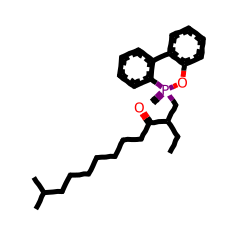 C=P1(CC(CC)C(=O)CCCCCCCC(C)C)Oc2ccccc2-c2ccccc21